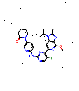 COc1nc(-c2nc(Nc3ccc(N4CCCCC4=O)cn3)ncc2F)cc2c1nc(C)n2C(C)C